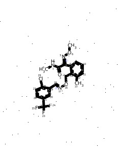 CNC(=O)/C(=N/OC)c1cccc(C)c1CO/N=C/c1cc(C(F)(F)F)ccc1Cl